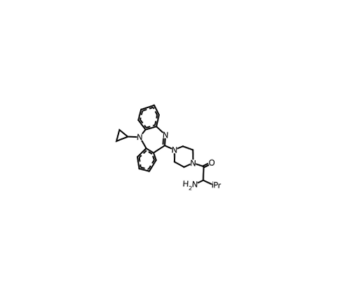 CC(C)C(N)C(=O)N1CCN(C2=Nc3ccccc3N(C3CC3)c3ccccc32)CC1